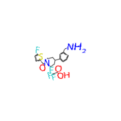 NCc1cccc(C2CCN(C(=O)c3ccc(F)s3)CC2)c1.O=C(O)C(F)(F)F